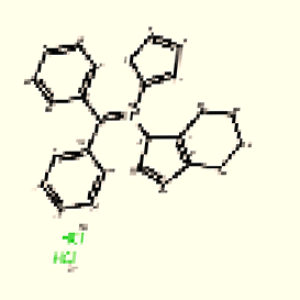 C1=CC[C]([Hf](=[C](c2ccccc2)c2ccccc2)[CH]2C=CC3=C2CCCC3)=C1.Cl.Cl